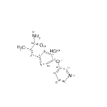 CC(=Cc1ccc(Oc2cccnc2)cc1)C(N)=O.Cl